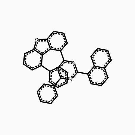 c1ccc(-c2nc(-c3cccc4ccccc34)nc(-c3cccc4oc5cccc(-c6ccccc6)c5c34)n2)cc1